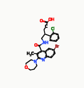 Cc1c(N2CCCOCC2)nc2ccc(Br)cc2c1C(=O)NCC(CCC(=O)O)c1ccccc1Cl